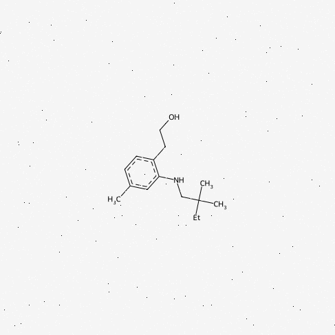 CCC(C)(C)CNc1cc(C)ccc1CCO